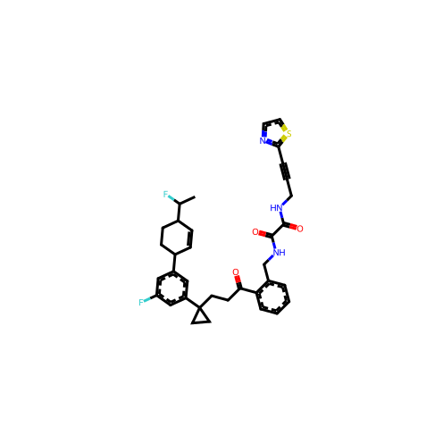 CC(F)C1C=CC(c2cc(F)cc(C3(CCC(=O)c4ccccc4CNC(=O)C(=O)NCC#Cc4nccs4)CC3)c2)CC1